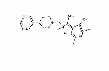 CC1=C2CC(C)(CN3CCC(c4ccccc4)CC3)C(N)=C2C(C(C)(C)C)=C(C)O1